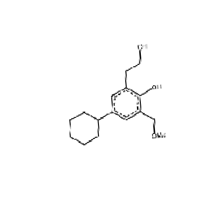 COCc1cc(C2CCCCC2)cc(CCO)c1O